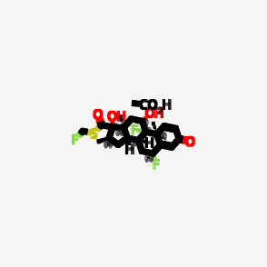 CC(=O)O.C[C@@H]1C[C@H]2[C@@H]3C[C@H](F)C4=CC(=O)C=C[C@]4(C)[C@@]3(F)[C@@H](O)C[C@]2(C)[C@@]1(O)C(=O)SCF